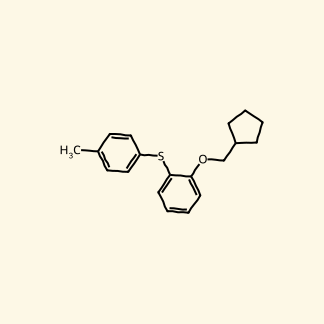 Cc1ccc(Sc2ccccc2OCC2CCCC2)cc1